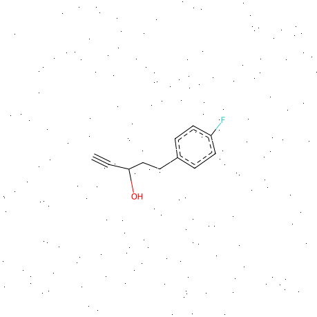 C#CC(O)CCc1ccc(F)cc1